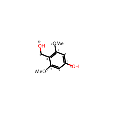 COc1cc(O)cc(OC)c1CO